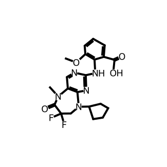 COc1cccc(C(=O)O)c1Nc1ncc2c(n1)N(C1CCCC1)CC(F)(F)C(=O)N2C